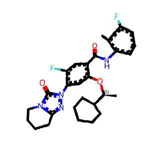 Cc1c(F)cccc1NC(=O)c1cc(F)c(-n2nc3n(c2=O)CCCC3)cc1O[C@@H](C)C1CCCCC1